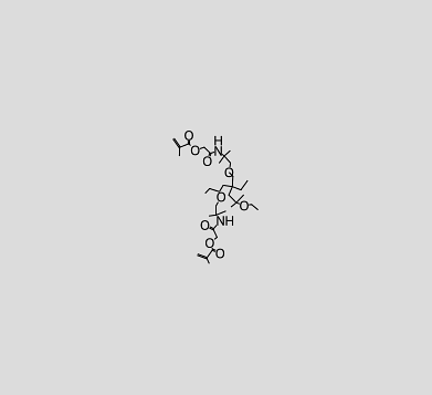 C=C(C)C(=O)OCC(=O)NC(C)(C)COCC(CC)(CC(CC)OCC(C)(C)NC(=O)COC(=O)C(=C)C)CC(C)(C)OCC